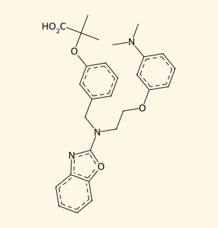 CN(C)c1cccc(OCCN(Cc2cccc(OC(C)(C)C(=O)O)c2)c2nc3ccccc3o2)c1